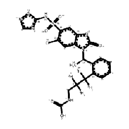 [2H]C([2H])(CNC(=O)O)C([2H])([2H])c1ccccc1[C@@H](C)n1c(=O)oc2cc(S(=O)(=O)Nc3ncns3)c(Cl)cc21